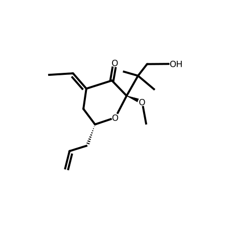 C=CC[C@@H]1C/C(=C\C)C(=O)[C@](OC)(C(C)(C)CO)O1